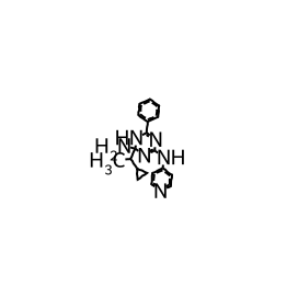 CC(C1CC1)C1(N)N=C(Nc2ccncc2)N=C(c2ccccc2)N1